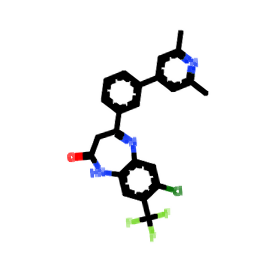 Cc1cc(-c2cccc(C3=Nc4cc(Cl)c(C(F)(F)F)cc4NC(=O)C3)c2)cc(C)n1